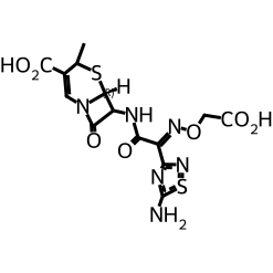 CC1S[C@@H]2C(NC(=O)C(=NOCC(=O)O)c3nsc(N)n3)C(=O)N2C=C1C(=O)O